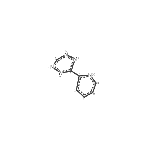 c1ccc(-c2nncnn2)nc1